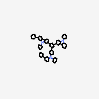 c1ccc(-c2cccc(N(c3ccccc3)c3ccc(-c4cc(-c5ccc6c(c5)c5ccccc5n6-c5ccccc5)cc(-c5ccc6c7ccc(-c8ccccc8)cc7n(-c7ccccc7)c6c5)c4)cc3)c2)cc1